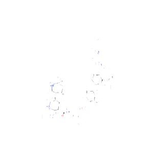 CC1(C)C[C@H](N2CCN(CCO)CC2)c2ccc(-c3ccc(CO[C@H]4CCC[C@@H]4NC(=O)c4cc(-c5ccc(F)nc5)cnc4N)cc3)cc21